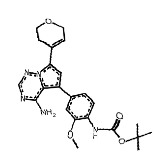 COc1cc(-c2cc(C3=CCOCC3)n3ncnc(N)c23)ccc1NC(=O)OC(C)(C)C